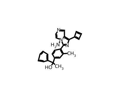 Cc1cc(C(C)(O)c2ccccc2)ccc1C1=NC(C2=CC=C2)=C2C=NC=C[N+]12N